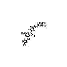 Cc1cc(NC2=NC(Br)=CN3C(C4C=NN(COCC[Si](C)(C)C)C4)=CNC23)sn1